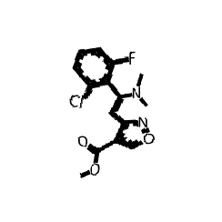 COC(=O)c1conc1C=C(c1c(F)cccc1Cl)N(C)C